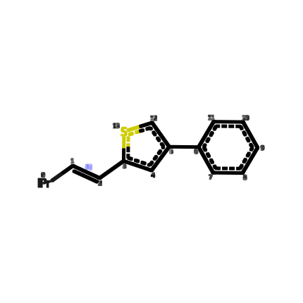 CC(C)/C=C/c1cc(-c2ccccc2)cs1